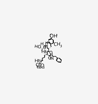 Cc1cc(O)cc(C)c1C[C@@H](NC(=O)O)C(=O)N[C@H](CCCCNC(=O)OC(C)(C)C)c1nc(Cc2ccccc2)no1